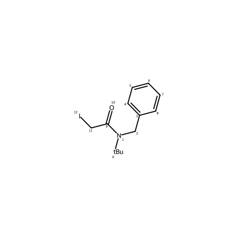 CC(C)(C)N(Cc1ccccc1)C(=O)CI